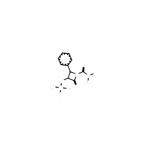 CCN(CC)C(=O)N1C(=O)C(O[Si](CC)(CC)CC)C1c1ccccc1